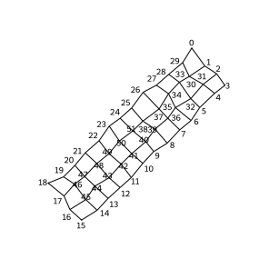 C1C2C3CC4C5C6C7C8C9C%10C%11C%12C%13C%14CC%15C%16CC%17C%18C%19C%20C%21C%22C%23C%24C%25C%26C1C21C34C52C%261C%251C62C72C%241C%231C82C92C%103C%114C%125C%136C%15%14C%16%17C%186C%195C%204C%213C%2212